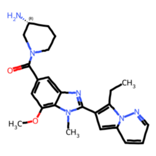 CCc1c(-c2nc3cc(C(=O)N4CCC[C@@H](N)C4)cc(OC)c3n2C)cc2cccnn12